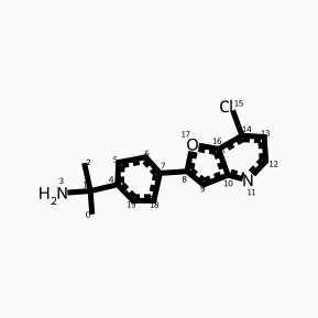 CC(C)(N)c1ccc(-c2cc3nccc(Cl)c3o2)cc1